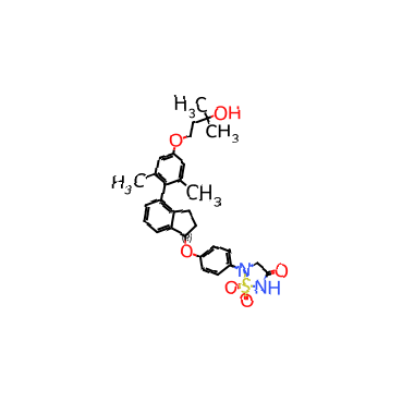 Cc1cc(OCCC(C)(C)O)cc(C)c1-c1cccc2c1CC[C@H]2Oc1ccc(N2CC(=O)NS2(=O)=O)cc1